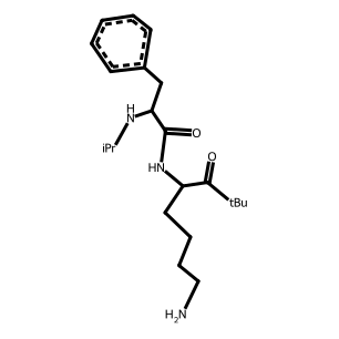 CC(C)NC(Cc1ccccc1)C(=O)NC(CCCCN)C(=O)C(C)(C)C